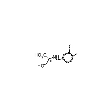 Cc1ccc(CN[C@H](CO)C(=O)O)cc1Cl